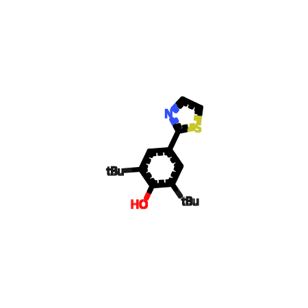 CC(C)(C)c1cc(-c2nccs2)cc(C(C)(C)C)c1O